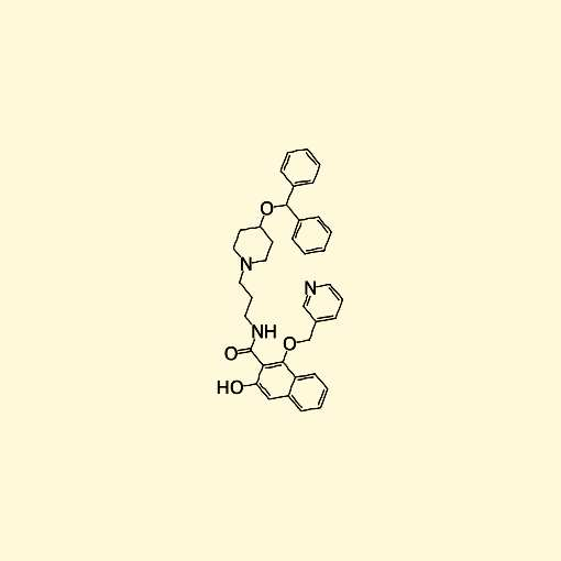 O=C(NCCCN1CCC(OC(c2ccccc2)c2ccccc2)CC1)c1c(O)cc2ccccc2c1OCc1cccnc1